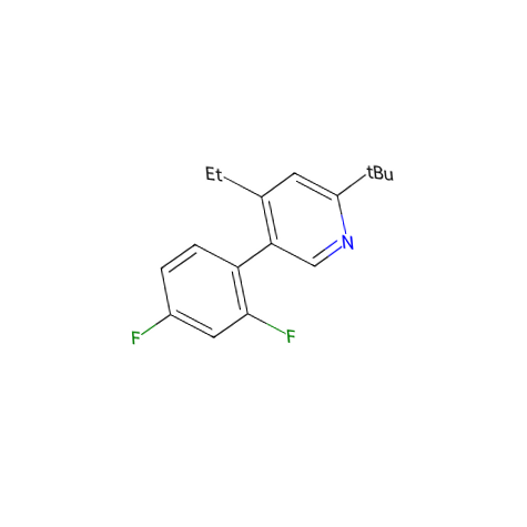 CCc1cc(C(C)(C)C)ncc1-c1ccc(F)cc1F